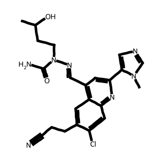 CC(O)CCN(/N=C/c1cc(-c2cncn2C)nc2cc(Cl)c(CCC#N)cc12)C(N)=O